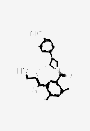 Cc1cc(C)c(/C(N)=C(\Cl)C=N)cc1C(=O)N1CC(c2ccc(C#N)cc2)C1